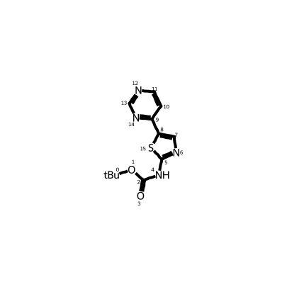 CC(C)(C)OC(=O)Nc1ncc(-c2ccncn2)s1